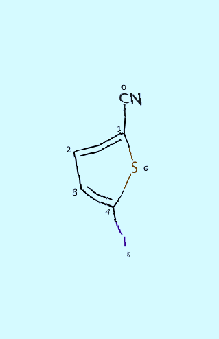 N#Cc1ccc(I)s1